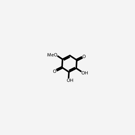 COC1=CC(=O)C(O)=C(O)C1=O